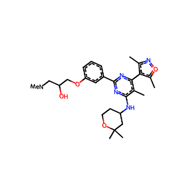 CNCC(O)COc1cccc(-c2nc(NC3CCOC(C)(C)C3)c(C)c(-c3c(C)noc3C)n2)c1